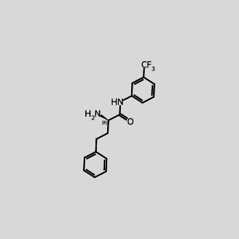 N[C@H](CCc1ccccc1)C(=O)Nc1cccc(C(F)(F)F)c1